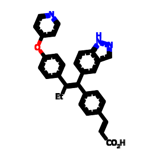 CCC(=C(c1ccc(C=CC(=O)O)cc1)c1ccc2[nH]ncc2c1)c1ccc(Oc2ccncc2)cc1